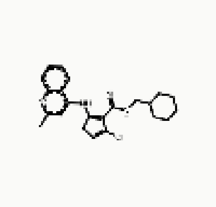 Cc1cc(NC2=C(C(=N)NCC3CCCCC3)C(O)=CC2)c2ccccc2n1